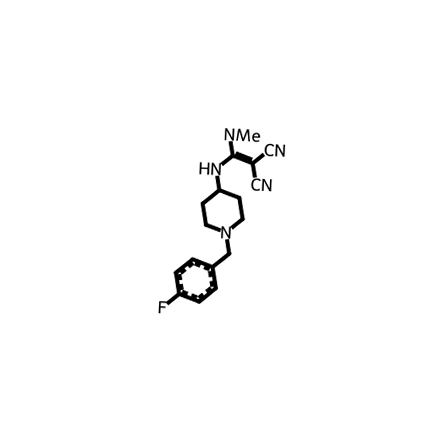 CNC(NC1CCN(Cc2ccc(F)cc2)CC1)=C(C#N)C#N